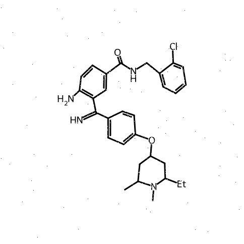 CCC1CC(Oc2ccc(C(=N)c3cc(C(=O)NCc4ccccc4Cl)ccc3N)cc2)CC(C)N1C